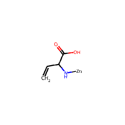 C=CC([NH][Zn])C(=O)O